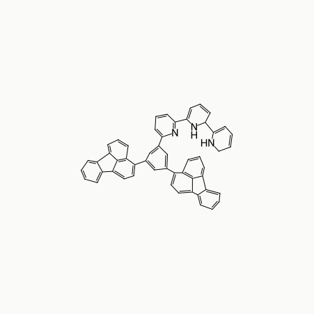 C1=CCNC(C2C=CC=C(c3cccc(-c4cc(-c5ccc6c7c(cccc57)-c5ccccc5-6)cc(-c5ccc6c7c(cccc57)-c5ccccc5-6)c4)n3)N2)=C1